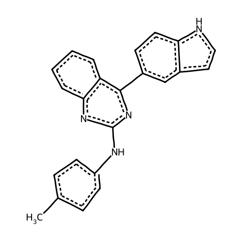 Cc1ccc(Nc2nc(-c3ccc4[nH]ccc4c3)c3ccccc3n2)cc1